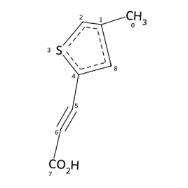 Cc1csc(C#CC(=O)O)c1